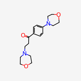 O=C(CCN1CCOCC1)c1ccc(N2CCOCC2)cc1